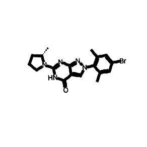 Cc1cc(Br)cc(C)c1-n1cc2c(=O)[nH]c(N3CCC[C@@H]3C)nc2n1